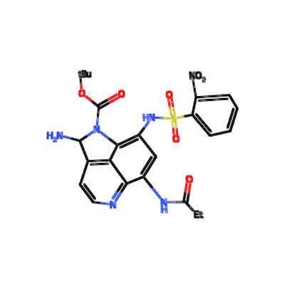 CCC(=O)Nc1cc(NS(=O)(=O)c2ccccc2[N+](=O)[O-])c2c3c(ccnc13)C(N)N2C(=O)OC(C)(C)C